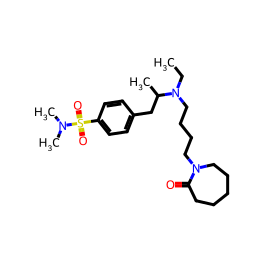 CCN(CCCCN1CCCCCC1=O)C(C)Cc1ccc(S(=O)(=O)N(C)C)cc1